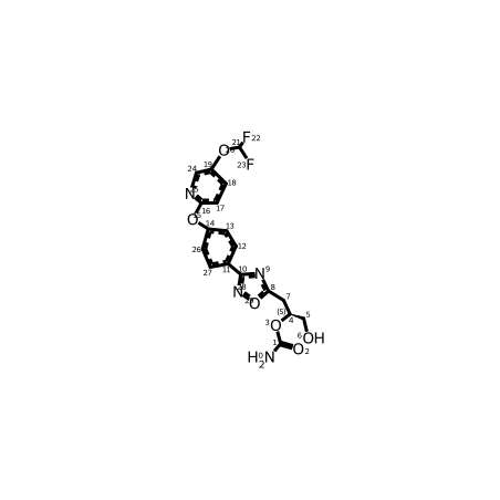 NC(=O)O[C@H](CO)Cc1nc(-c2ccc(Oc3ccc(OC(F)F)cn3)cc2)no1